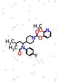 COc1ncccc1OC(=O)N1CCC(C(CC(C)C)N(C=O)c2ccc(F)cc2)CC1